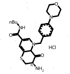 CCCCNC(=O)C1=CN(Cc2ccc(N3CCOCC3)cc2)C2C(=O)[C@@H](N)CSC2=C1.Cl